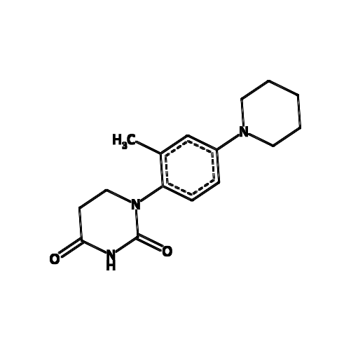 Cc1cc(N2CCCCC2)ccc1N1CCC(=O)NC1=O